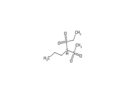 CCC[SH](S(C)(=O)=O)S(=O)(=O)CC